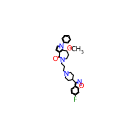 COC1CCN(CCCN2CCC(c3noc4cc(F)ccc34)CC2)C(=O)c2ccn(-c3ccccc3)c21